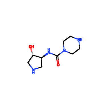 O=C(N[C@H]1CNC[C@@H]1O)N1CCNCC1